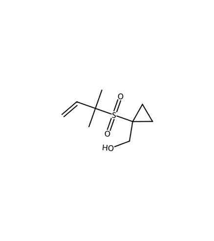 C=CC(C)(C)S(=O)(=O)C1(CO)CC1